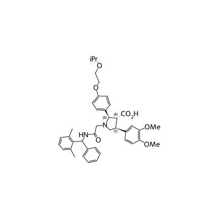 COc1ccc([C@H]2CN(CC(=O)NC(c3ccccc3)c3c(C)cccc3C)[C@@H](c3ccc(OCCOC(C)C)cc3)[C@@H]2C(=O)O)cc1OC